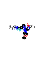 CC(=O)N1CCc2c(c(N3CCCc4cc(-c5cnn(C)c5)c(C(F)F)cc43)nn2C2CCC(OCc3ccccc3)CC2)C1